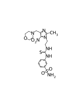 Cc1nc(CN2CCOCC2)c([N+](=O)[O-])n1CCNC(=S)Nc1cccc(S(N)(=O)=O)c1